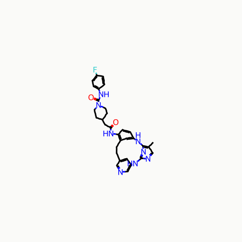 Cc1cnc2nc1Nc1ccc(NC(=O)CC3CCN(C(=O)Nc4ccc(F)cc4)CC3)c(c1)CCc1cncc(c1)N2